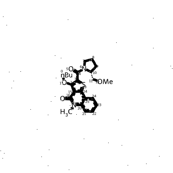 CCCCOc1c(C(=O)N2CCC[C@@H]2COC)sc2c1c(=O)n(C)c1ccccc21